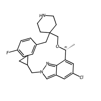 C[C@@H](OCC1(Cc2ccc(F)cc2)CCNCC1)c1cc(Cl)cc2cn(CC3CC3)nc12